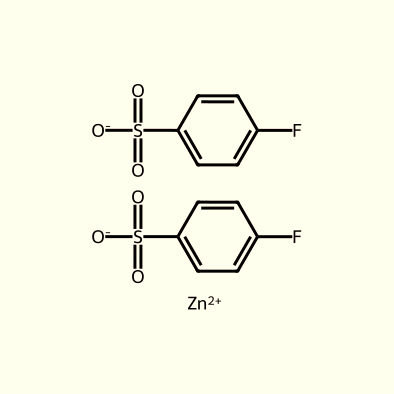 O=S(=O)([O-])c1ccc(F)cc1.O=S(=O)([O-])c1ccc(F)cc1.[Zn+2]